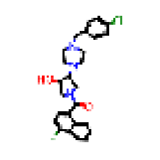 O=C(c1ccc(F)c2ccccc12)N1CC(O)C(N2CCN(Cc3ccc(Cl)cc3)CC2)C1